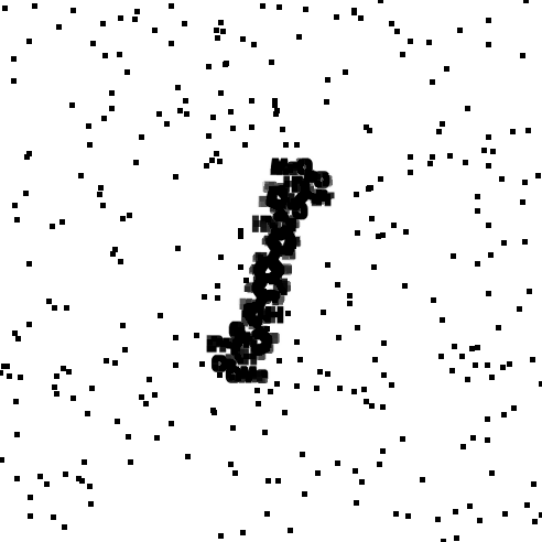 COC(=O)N[C@H](C(=O)N1CCC[C@H]1c1ncc(-c2cnc3cc(-c4ccc5nc([C@@H]6CCCN6C(=O)[C@@H](NC(=O)OC)C(C)C)[nH]c5c4)ccc3c2)[nH]1)C(C)C